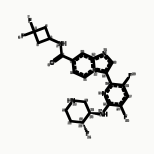 O=C(NC1CC(F)(F)C1)c1ccn2c(-c3nc(N[C@@H]4CNCC[C@H]4F)c(F)cc3F)cnc2c1